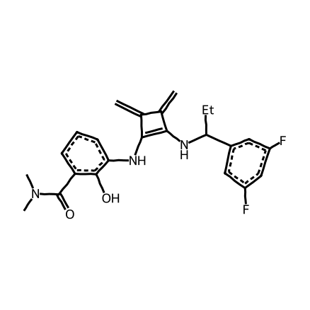 C=C1C(=C)C(NC(CC)c2cc(F)cc(F)c2)=C1Nc1cccc(C(=O)N(C)C)c1O